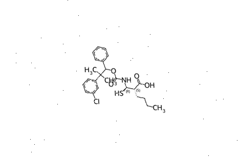 CCCC[C@@H](C(=O)O)[C@@H](S)NC(=O)OC(c1ccccc1)C(C)(C)c1cccc(Cl)c1